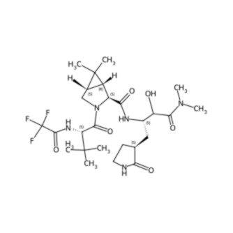 CN(C)C(=O)C(O)[C@H](C[C@@H]1CCNC1=O)NC(=O)[C@@H]1[C@@H]2[C@H](CN1C(=O)[C@@H](NC(=O)C(F)(F)F)C(C)(C)C)C2(C)C